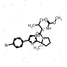 COC(=O)N[C@H](C(=O)N1CCC[C@@]1(C)c1nc(-c2ccc(Br)cc2)c[nH]1)C(C)C